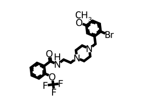 COc1ccc(Br)c(CN2CCN(CCNC(=O)c3ccccc3OC(F)(F)F)CC2)c1